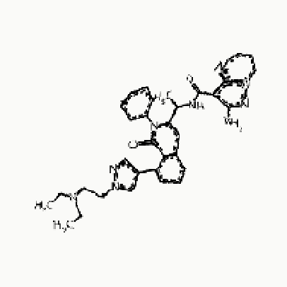 CCN(CC)CCn1cc(-c2cccc3cc(C(C)NC(=O)c4c(N)nn5cccnc45)n(-c4ccccc4)c(=O)c23)cn1